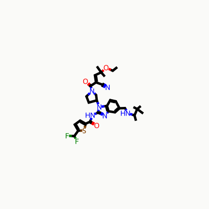 CCOC(C)(C)C=C(C#N)C(=O)N1CCC(n2c(NC(=O)c3ccc(C(F)F)s3)nc3cc(CNC(C)C(C)(C)C)ccc32)C1